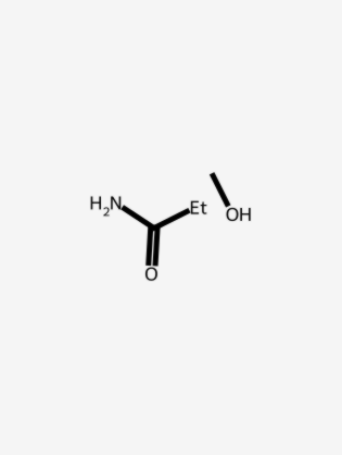 CCC(N)=O.CO